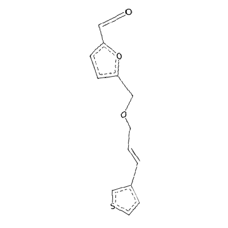 O=Cc1ccc(COC/C=C/c2ccsc2)o1